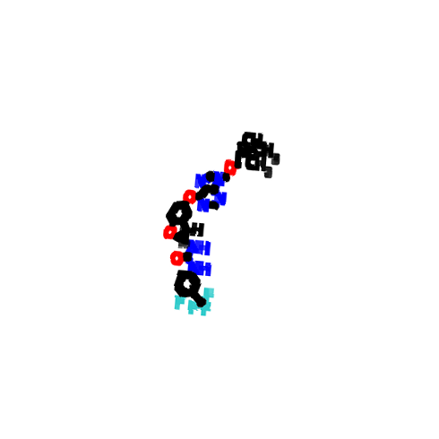 C[Si](C)(C)CCOCn1cnc2c(Oc3ccc4c(c3)[C@@H]3C(O4)[C@H]3NC(=O)Nc3ccc(F)c(C(F)(F)F)c3)ncnc21